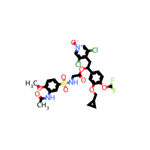 COc1ccc(S(=O)(=O)NCC(=O)OC(Cc2c(Cl)c[n+]([O-])cc2Cl)c2ccc(OC(F)F)c(OCC3CC3)c2)cc1NC(C)=O